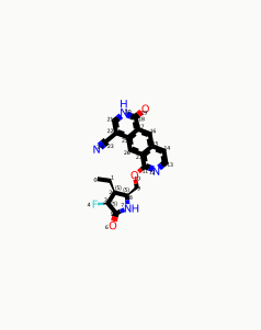 CC[C@@H]1[C@H](F)C(=O)N[C@@H]1COc1nccc2cc3c(=O)[nH]cc(C#N)c3cc12